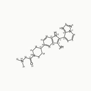 CC(C)c1c(-c2cccn3ncnc23)[nH]c2ccc(C3CCN(C(=O)CN(C)C)CC3)cc12